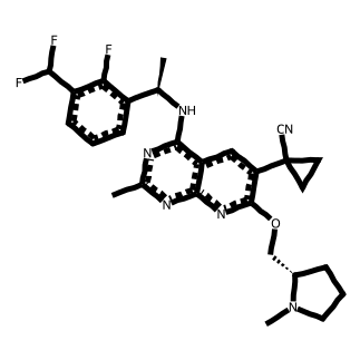 Cc1nc(N[C@H](C)c2cccc(C(F)F)c2F)c2cc(C3(C#N)CC3)c(OC[C@@H]3CCCN3C)nc2n1